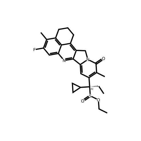 CCOS(=O)[C@](CC)(c1cc2n(c(=O)c1C)Cc1c-2nc2cc(F)c(C)c3c2c1CCC3)C1CC1